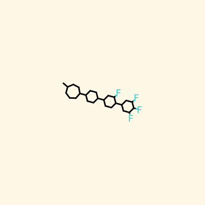 CC1CCCC(C2CCC(C3CCC(C4CC(F)C(F)C(F)C4)C(F)C3)CC2)CC1